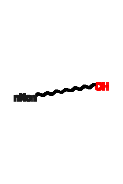 CCCCCCCCCCCC=CCCCCCCCCCO